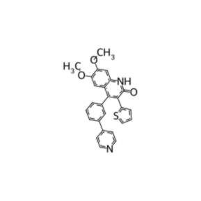 COc1cc2[nH]c(=O)c(-c3cccs3)c(-c3cccc(-c4ccncc4)c3)c2cc1OC